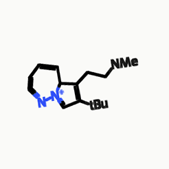 CNCCC1=C(C(C)(C)C)C=[N+]2N=C=CC=CC12